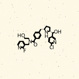 O=C(c1ccc(C[C@@H]2CC[C@H](C(O)c3ccc(Cl)nc3)N2)cc1)N(CCO)Cc1cccnc1F